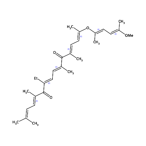 CC/C(=C\C=C(/C)C(=O)/C(C)=C/C=C(\C)O/C(C)=C/C=C(\C)OC)C(=O)/C(C)=C/C=C(C)C